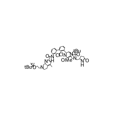 COc1nc(-c2cccc(-c3cccc(NC(=O)c4cc(C)c5c(n4)CN(CCO[Si](C)(C)C(C)(C)C)CC5)c3Cl)c2Cl)cnc1CN(CC1CCC(=O)N1)C(=O)OC(C)(C)C